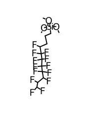 CO[Si](CCCC(F)C(F)(F)C(F)(F)C(F)(F)C(F)(F)C(F)C(F)C(F)F)(OC)OC